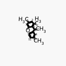 Cc1cc(C)c2c(c1)Oc1ccc(C)cc1C2C